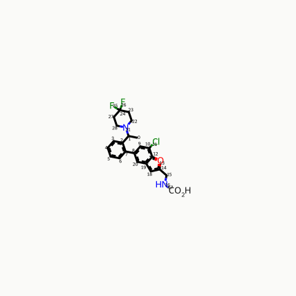 CC(c1ccccc1-c1cc(Cl)c2oc(CNC(=O)O)cc2c1)N1CCC(F)(F)CC1